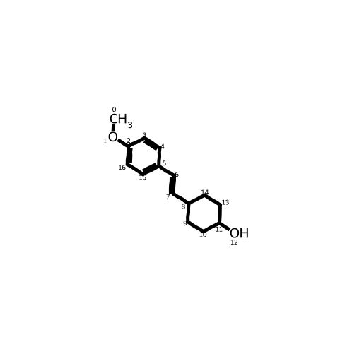 COc1ccc(C=CC2CCC(O)CC2)cc1